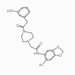 CC(=O)c1cc2c(cc1NC(=O)CN1CCN(C(=O)Cc3cccc(O)c3)CC1)OCO2